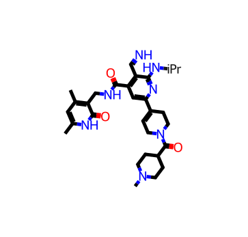 Cc1cc(C)c(CNC(=O)c2cc(C3=CCN(C(=O)C4CCN(C)CC4)CC3)nc(NC(C)C)c2C=N)c(=O)[nH]1